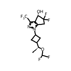 C[C@H](OC(F)F)C1CC(n2nc(C(F)(F)F)c3c2CC(F)(F)[C@H]3O)C1